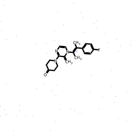 C=C1C(N2CCC(=O)CC2)=NC=CN1/C(C)=C(\C)c1ccc(F)cc1